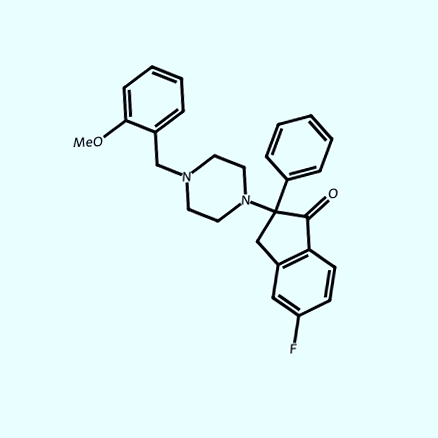 COc1ccccc1CN1CCN(C2(c3ccccc3)Cc3cc(F)ccc3C2=O)CC1